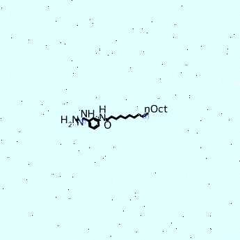 CCCCCCCC/C=C\CCCCCCCC(=O)Nc1cccc(/C(N)=N/N)c1